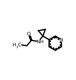 CCC(=O)NC1(c2cccnc2)CC1